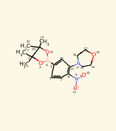 CC1(C)OB(c2ccc([N+](=O)[O-])c(N3CCOCC3)c2)OC1(C)C